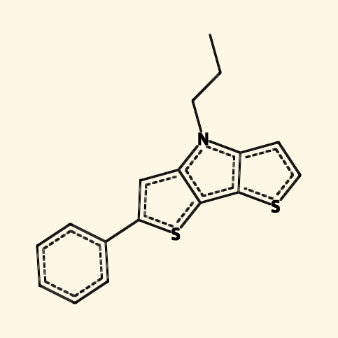 CCCn1c2ccsc2c2sc(-c3ccccc3)cc21